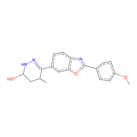 COc1ccc(-c2nc3ccc(C4=NNC(O)CC4C)cc3o2)cc1